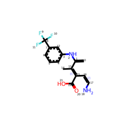 C=C(Nc1cccc(C(F)(F)F)c1)/C(C)=C(\C=C/N)C(=O)O